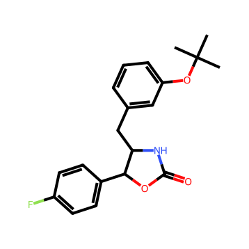 CC(C)(C)Oc1cccc(CC2NC(=O)OC2c2ccc(F)cc2)c1